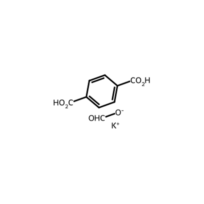 O=C(O)c1ccc(C(=O)O)cc1.O=C[O-].[K+]